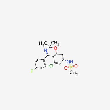 CC1(C)N=C(c2ccc(F)cc2Cl)c2ccc(NS(C)(=O)=O)cc2O1